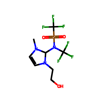 CN1C=CN(CCO)C1N(C(F)(F)F)S(=O)(=O)C(F)(F)F